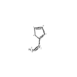 [PH3]=NC1=CC=CC1